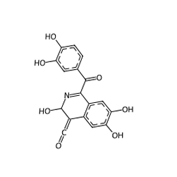 O=C=C1c2cc(O)c(O)cc2C(C(=O)c2ccc(O)c(O)c2)=NC1O